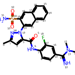 Cc1cc(C(=O)Nc2ccc(C(=N)N(C)C)cc2F)n(-c2cc3ccccc3cc2S(N)(=O)=O)n1